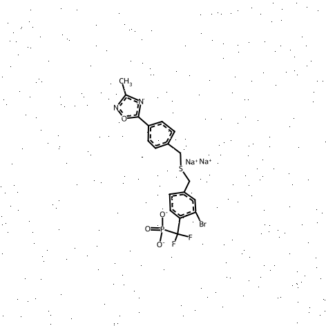 Cc1noc(-c2ccc(CSCc3ccc(C(F)(F)P(=O)([O-])[O-])c(Br)c3)cc2)n1.[Na+].[Na+]